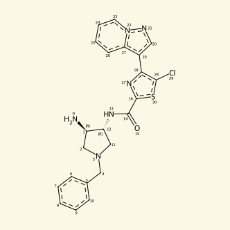 N[C@@H]1CN(Cc2ccccc2)C[C@H]1NC(=O)c1nc(-c2cnn3ccccc23)c(Cl)s1